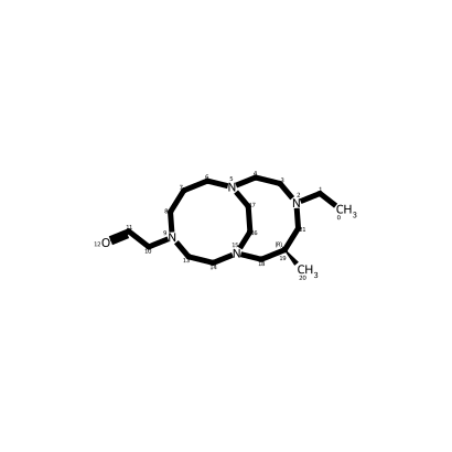 CCN1CCN2CCCN(CC=O)CCN(CC2)C[C@H](C)C1